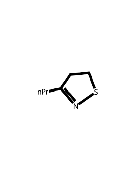 CCCC1=NSCC1